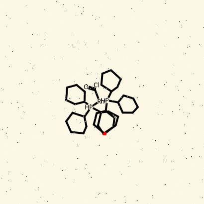 O=[C](Cl)[Rh]([PH](C1CCCCC1)(C1CCCCC1)C1CCCCC1)[PH](C1CCCCC1)(C1CCCCC1)C1CCCCC1